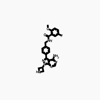 COc1ccc(F)cc1C(=O)NCc1ccc(-c2nn(C3CNC3)c3ncnc(N)c23)cc1